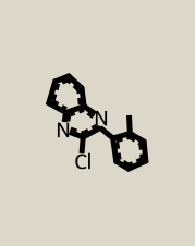 Cc1ccccc1-c1nc2ccccc2nc1Cl